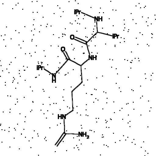 C=C(N)NCCCC(NC(=O)C(NC(C)C)C(C)C)C(=O)NC(C)C